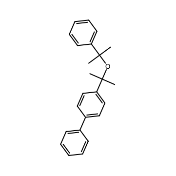 CC(C)(OC(C)(C)c1ccc(-c2ccccc2)cc1)c1ccccc1